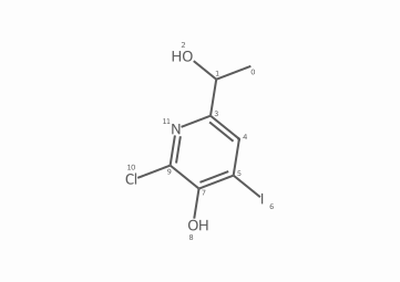 CC(O)c1cc(I)c(O)c(Cl)n1